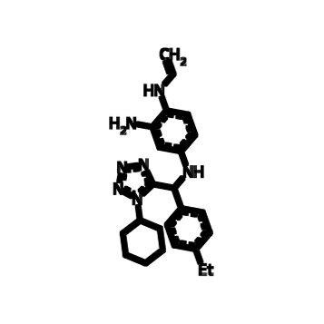 C=CNc1ccc(NC(c2ccc(CC)cc2)c2nnnn2C2CCCCC2)cc1N